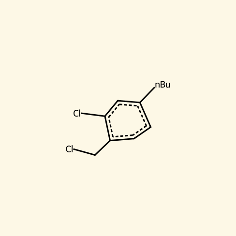 CCCCc1ccc(CCl)c(Cl)c1